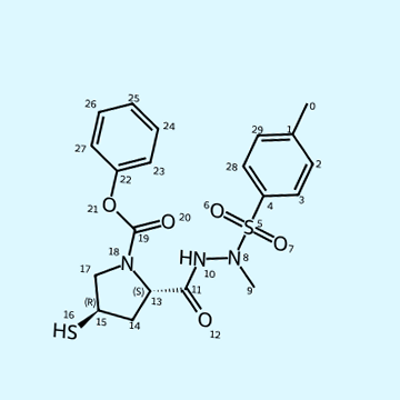 Cc1ccc(S(=O)(=O)N(C)NC(=O)[C@@H]2C[C@@H](S)CN2C(=O)Oc2ccccc2)cc1